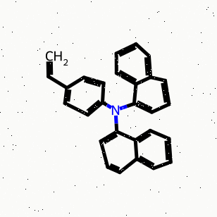 C=Cc1ccc(N(c2cccc3ccccc23)c2cccc3ccccc23)cc1